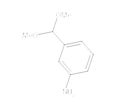 COC(OC)c1cccc(N)c1